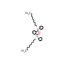 CCCCCCCCCCSN(C(=O)c1ccccc1C(=O)N(SCCCCCCCCCC)c1ccccc1)c1ccccc1